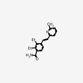 CCc1c(C=Cc2cccc(C)n2)ccc(C(N)=O)c1CC